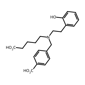 O=C(O)CCCCN(CCc1ccccc1O)Cc1ccc(C(=O)O)cc1